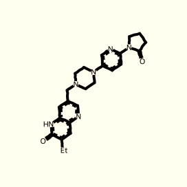 CCc1cc2ncc(CN3CCN(c4ccc(N5CCCC5=O)nc4)CC3)cc2[nH]c1=O